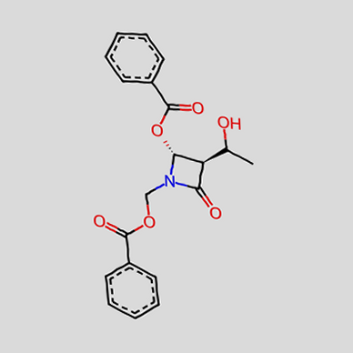 CC(O)[C@H]1C(=O)N(COC(=O)c2ccccc2)[C@@H]1OC(=O)c1ccccc1